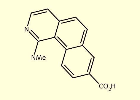 CNc1nccc2ccc3cc(C(=O)O)ccc3c12